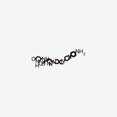 Nc1ccc(N2CCC(N3CCC4(CCN(c5ccc(C(=O)NC6CCC(=O)NC6=O)nn5)CC4)C3)CC2)cc1